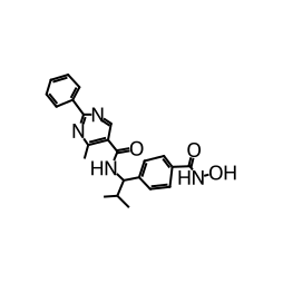 Cc1nc(-c2ccccc2)ncc1C(=O)NC(c1ccc(C(=O)NO)cc1)C(C)C